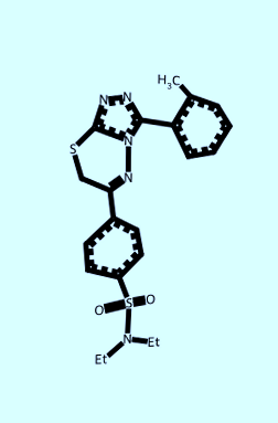 CCN(CC)S(=O)(=O)c1ccc(C2=Nn3c(nnc3-c3ccccc3C)SC2)cc1